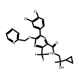 CC(O)(CNC(=O)c1nc(-c2ccc(Cl)c(Cl)c2)c(OCc2ccccn2)nc1C(F)(F)F)C1CC1